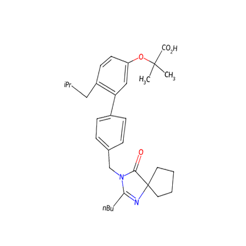 CCCCC1=NC2(CCCC2)C(=O)N1Cc1ccc(-c2cc(OC(C)(C)C(=O)O)ccc2CC(C)C)cc1